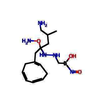 CC(CN)CC(C/C1=C/CC=CC=CC1)(NNCB(O)N=O)ON